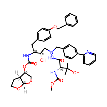 COC(=O)N[C@H](C(=O)NN(Cc1ccc(-c2ccccn2)cc1)C[C@H](O)[C@H](Cc1ccc(OCc2ccccc2)cc1)NC(=O)O[C@H]1CO[C@H]2OCC[C@H]21)C(C)(C)O